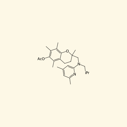 CC(=O)Oc1c(C)c(C)c2c(c1C)CCC(C)(CN(CC(C)C)c1cc(C)cc(C)n1)O2